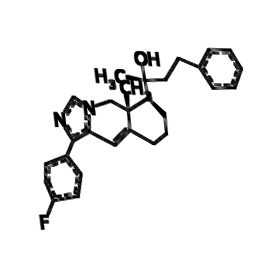 C[C@]12Cn3cnc(-c4ccc(F)cc4)c3C=C1CCC[C@@H]2[C@](C)(O)CCc1ccccc1